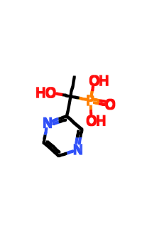 CC(O)(c1cnccn1)P(=O)(O)O